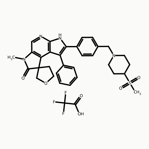 CN1C(=O)C2(CCOC2)c2c1cnc1[nH]c(-c3ccc(CN4CCC(S(C)(=O)=O)CC4)cc3)c(-c3ccccc3)c21.O=C(O)C(F)(F)F